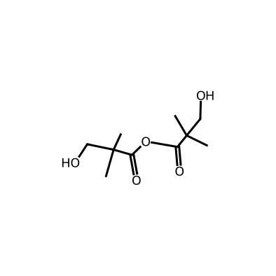 CC(C)(CO)C(=O)OC(=O)C(C)(C)CO